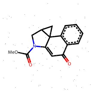 COC(=O)N1CC2CC23C1=CC(=O)c1ccccc13